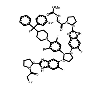 COC(=O)N[C@H](C(=O)N1CCC[C@H]1c1nc2cc([C@H]3CC[C@H](c4cc5nc([C@@H]6CCCN6C(=O)[CH]C(C)C)[nH]c5cc4F)N3c3cc(F)c(N4CCC(C(F)(c5ccccc5)c5ccccc5)CC4)c(F)c3)c(F)cc2[nH]1)C(C)C